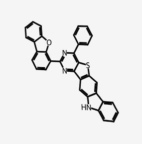 c1ccc(-c2nc(-c3cccc4c3oc3ccccc34)nc3c2sc2cc4c(cc23)[nH]c2ccccc24)cc1